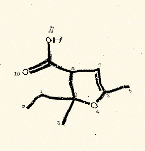 CCC1(C)OC(C)=CC1C(=O)O